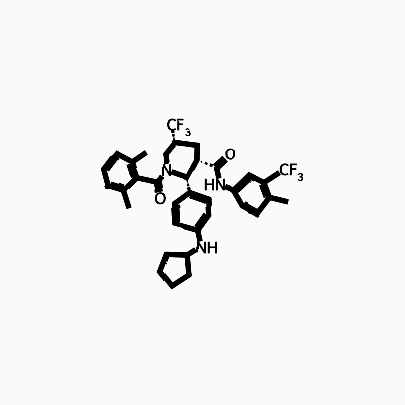 Cc1ccc(NC(=O)[C@H]2C[C@@H](C(F)(F)F)CN(C(=O)c3c(C)cccc3C)[C@H]2c2ccc(NC3CCCC3)cc2)cc1C(F)(F)F